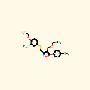 CCOCc1c(CSc2ccc(OCC)c(C)c2)noc1-c1ccc(C)cc1